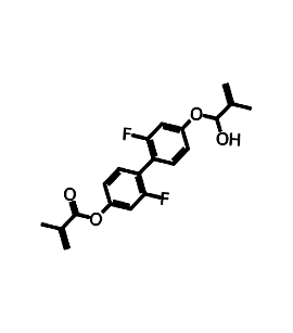 C=C(C)C(=O)Oc1ccc(-c2ccc(OC(O)C(=C)C)cc2F)c(F)c1